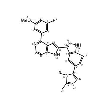 COc1cc(F)cc(-c2nccc3[nH]c(-c4n[nH]c5ccc(-c6cnc(C)n6C)cc45)cc23)c1